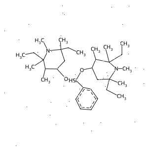 CCC1(C)CC(O[SiH](OC2CC(C)(CC)N(C)C(C)(CC)C2C)c2ccccc2)C(C)C(C)(CC)N1C